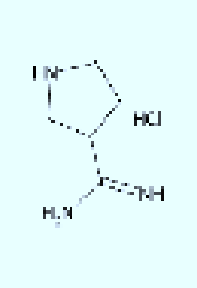 Cl.N=C(N)C1CCNC1